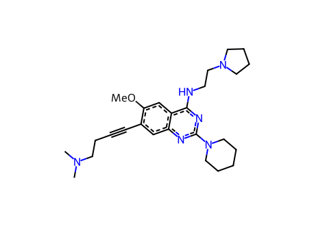 COc1cc2c(NCCN3CCCC3)nc(N3CCCCC3)nc2cc1C#CCCN(C)C